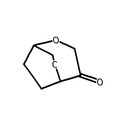 O=C1COC2CCC1CC2